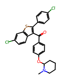 CN1CCCCC1Oc1ccc(C(=O)c2c(-c3ccc(Cl)cc3)sc3cc(Cl)ccc23)cc1